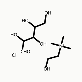 C[N+](C)(C)CCO.O=CC(O)C(O)C(O)CO.[Cl-]